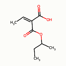 CC=C(C(=O)O)C(=O)OC(C)CC